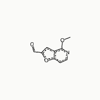 COc1nccc2oc(C=O)cc12